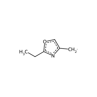 [CH2]c1coc(CC)n1